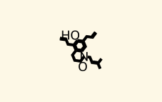 C=CCc1cc2c(c(CC=C)c1O)CCC(=O)N2CC=C(C)C